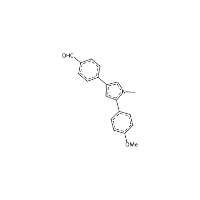 COc1ccc(-c2cc(-c3ccc(C=O)cc3)cn2C)cc1